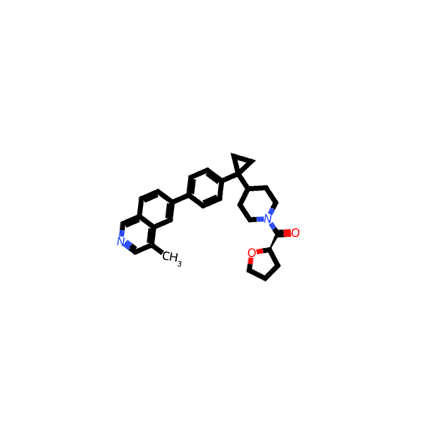 Cc1cncc2ccc(-c3ccc(C4(C5CCN(C(=O)[C@H]6CCCO6)CC5)CC4)cc3)cc12